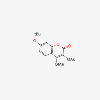 COc1c(OC(C)=O)c(=O)oc2cc(OC(C)(C)C)ccc12